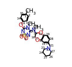 Cc1ccc(OC2=NS(=O)(=O)N=C(N(C)C3COc4cc(CN5CCCCC5)ccc4O3)N2C)cc1